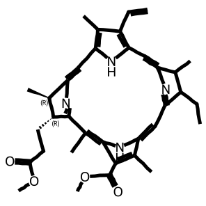 C=Cc1c(C)c2cc3nc(c(C)c4[nH]c(cc5nc(cc1[nH]2)C(C)C5CC)c(C)c4C(=O)OC)[C@H](CCC(=O)OC)[C@H]3C